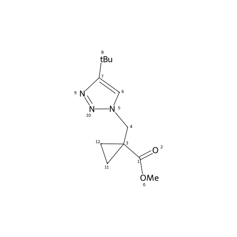 COC(=O)C1(Cn2cc(C(C)(C)C)nn2)CC1